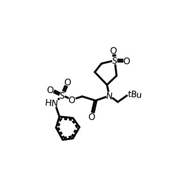 CC(C)(C)CN(C(=O)COS(=O)(=O)Nc1ccccc1)C1CCS(=O)(=O)C1